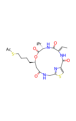 C/C=C1\NC(=O)c2csc(n2)CNC(=O)C[C@@H](CCCCSC(C)=O)OC(=O)[C@H](C(C)C)NC1=O